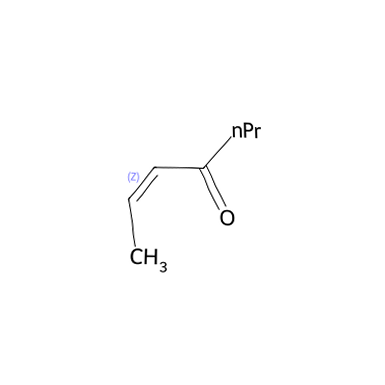 C/C=C\C(=O)CCC